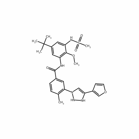 COc1c(NC(=O)c2ccc(C)c(N3C=C(c4ccoc4)NN3)c2)cc(C(C)(C)C)cc1NS(C)(=O)=O